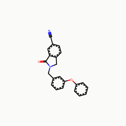 N#Cc1ccc2c(c1)C(=O)N(Cc1cccc(Oc3ccccc3)c1)C2